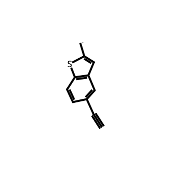 C#Cc1ccc2sc([CH2])cc2c1